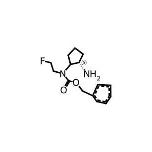 N[C@H]1CCCC1N(CCF)C(=O)OCc1ccccc1